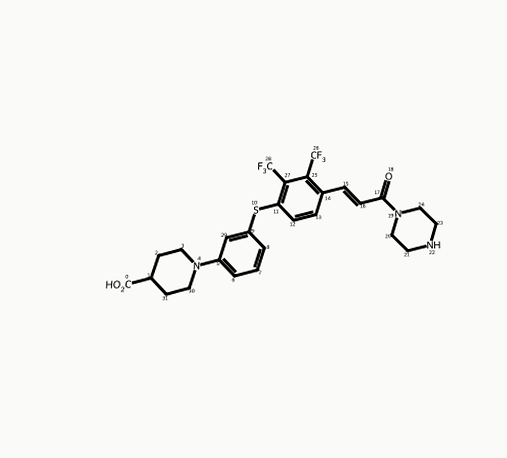 O=C(O)C1CCN(c2cccc(Sc3ccc(C=CC(=O)N4CCNCC4)c(C(F)(F)F)c3C(F)(F)F)c2)CC1